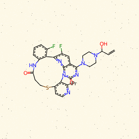 C=CC(O)N1CCN(c2nc(=O)n3c4nc(c(F)cc24)-c2c(F)cccc2NC(=O)CCSc2ccnc(C(C)C)c2-3)CC1